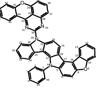 c1ccc(-n2c3ccc4oc5ccccc5c4c3c3ccc4c(c5ccccc5n4-c4nc5c6c(cccc6n4)Oc4ccccc4-5)c32)cc1